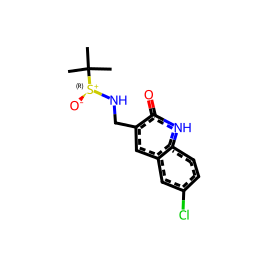 CC(C)(C)[S@+]([O-])NCc1cc2cc(Cl)ccc2[nH]c1=O